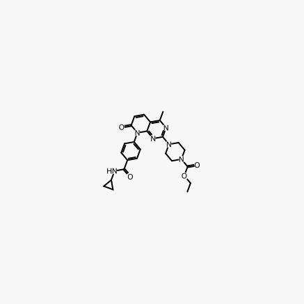 CCOC(=O)N1CCN(c2nc(C)c3ccc(=O)n(-c4ccc(C(=O)NC5CC5)cc4)c3n2)CC1